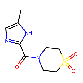 Cc1cnc(C(=O)N2CCS(=O)(=O)CC2)[nH]1